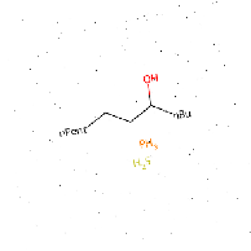 CCCCCCCC(O)CCCC.P.S